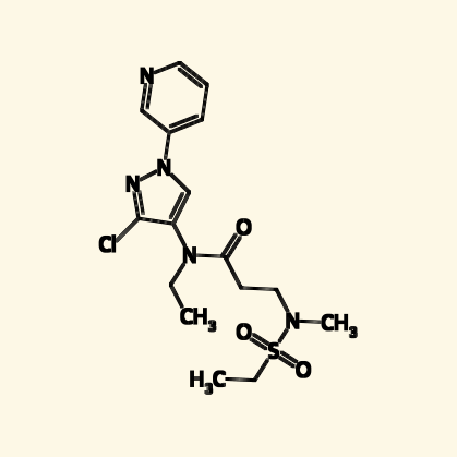 CCN(C(=O)CCN(C)S(=O)(=O)CC)c1cn(-c2cccnc2)nc1Cl